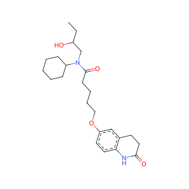 CCC(O)CN(C(=O)CCCCOc1ccc2c(c1)CCC(=O)N2)C1CCCCC1